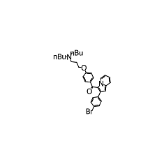 CCCCN(CCCC)CCCOc1ccc(C(=O)c2c(-c3ccc(Br)cc3)cc3ccccn23)cc1